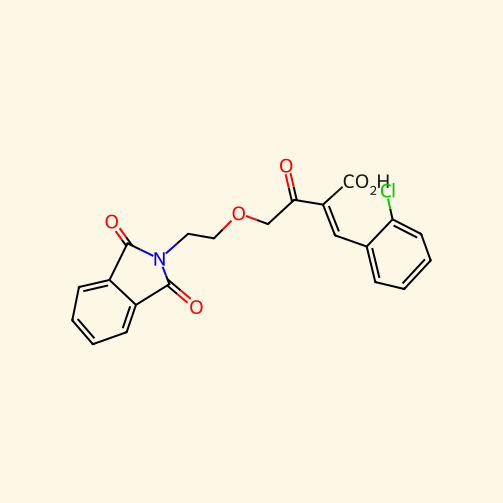 O=C(O)C(=Cc1ccccc1Cl)C(=O)COCCN1C(=O)c2ccccc2C1=O